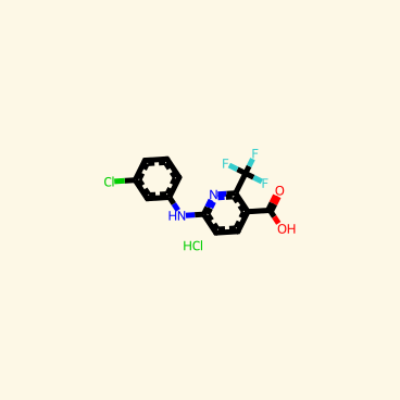 Cl.O=C(O)c1ccc(Nc2cccc(Cl)c2)nc1C(F)(F)F